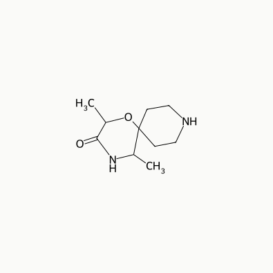 CC1OC2(CCNCC2)C(C)NC1=O